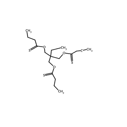 CCCC(=S)OCC(CC)(COC(=S)CCC)COC(=S)CCC